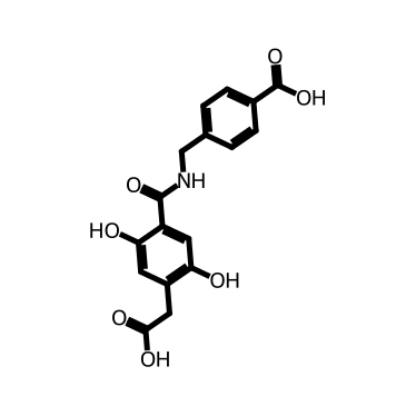 O=C(O)Cc1cc(O)c(C(=O)NCc2ccc(C(=O)O)cc2)cc1O